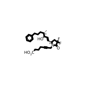 C[C@@H](CCCc1ccccc1)[C@H](O)C=C[C@H]1CC(F)(F)C(=O)N1CC#CCCCC(=O)O